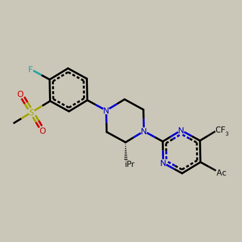 CC(=O)c1cnc(N2CCN(c3ccc(F)c(S(C)(=O)=O)c3)C[C@H]2C(C)C)nc1C(F)(F)F